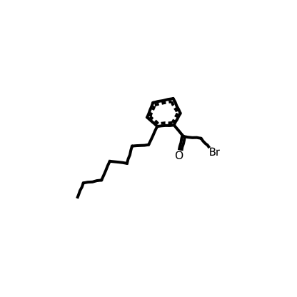 CCCCCCCc1ccccc1C(=O)CBr